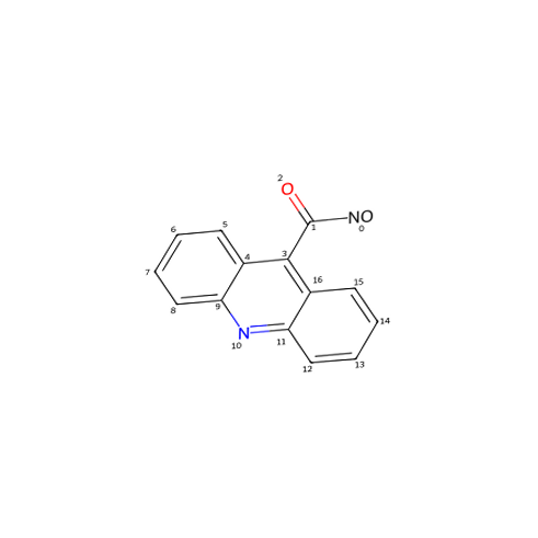 O=NC(=O)c1c2ccccc2nc2ccccc12